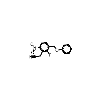 N#CCc1c([N+](=O)[O-])ccc(COc2ccccc2)c1F